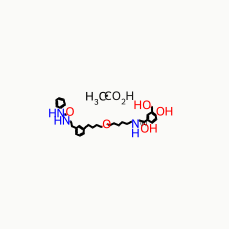 CC(=O)O.O=C(NCCc1cccc(CCCCOCCCCCCNC[C@H](O)c2ccc(O)c(CO)c2)c1)Nc1ccccc1